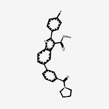 CNC(=O)c1c(-c2ccc(F)cc2)oc2ccc(-c3cccc(C(=O)N4CCCC4)c3)cc12